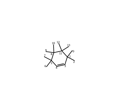 CC1(C)C=CC(C)(C)C(C)(C)C1(C)C